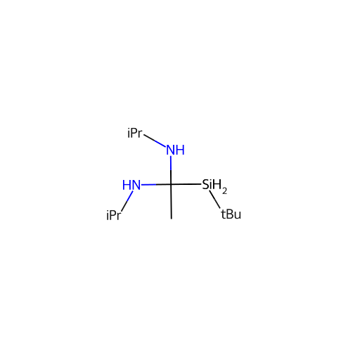 CC(C)NC(C)(NC(C)C)[SiH2]C(C)(C)C